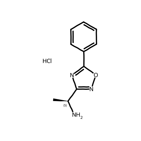 C[C@H](N)c1noc(-c2ccccc2)n1.Cl